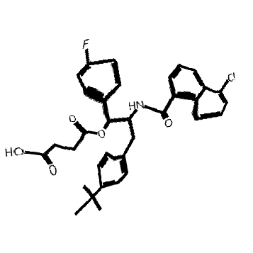 CC(C)(C)c1ccc(CC(NC(=O)c2cccc3c(Cl)cccc23)C(OC(=O)CCC(=O)O)c2ccc(F)cc2)cc1